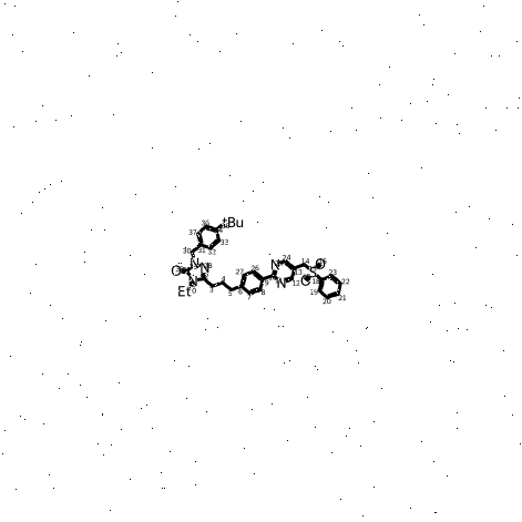 CCn1c(CCCc2ccc(-c3ncc(CS(=O)(=O)c4ccccc4)cn3)cc2)nn(Cc2ccc(C(C)(C)C)cc2)c1=O